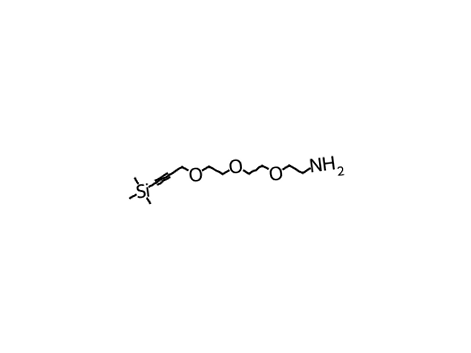 C[Si](C)(C)C#CCOCCOCCOCCN